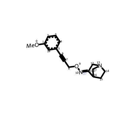 COc1cccc(C#CCO/N=C2\CN3CCC2C3)c1